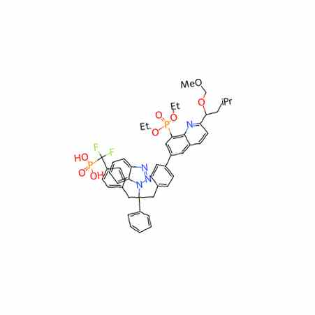 CCOP(=O)(OCC)c1cc(-c2ccc(CC(Cc3ccc(C(F)(F)P(=O)(O)O)cc3)(c3ccccc3)n3nnc4ccccc43)cc2)cc2ccc(C(CC(C)C)OCOC)nc12